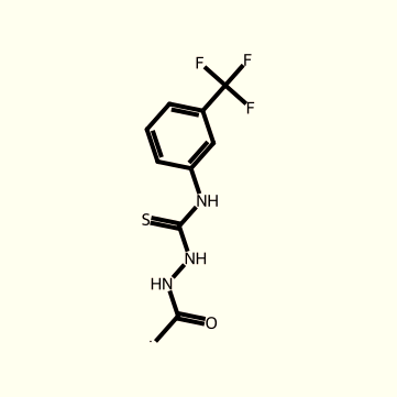 [CH2]C(=O)NNC(=S)Nc1cccc(C(F)(F)F)c1